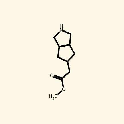 COC(=O)CC1CC2CNCC2C1